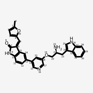 Cc1ccc(C=C2C(=O)Nc3ccc(-c4cncc(OC[C@@H](N)Cc5c[nH]c6ccccc56)c4)cc32)o1